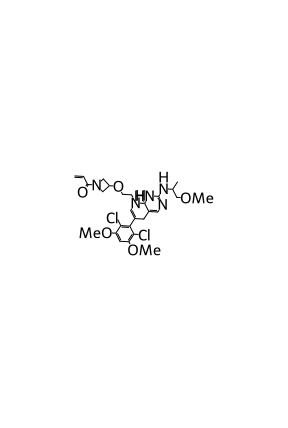 C=CC(=O)N1CC(OCCN2C=C(c3c(Cl)c(OC)cc(OC)c3Cl)CC3=CN=C(NC(C)COC)N[C@@H]32)C1